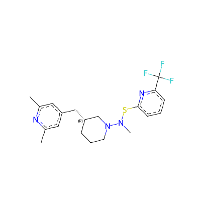 Cc1cc(C[C@H]2CCCN(N(C)Sc3cccc(C(F)(F)F)n3)C2)cc(C)n1